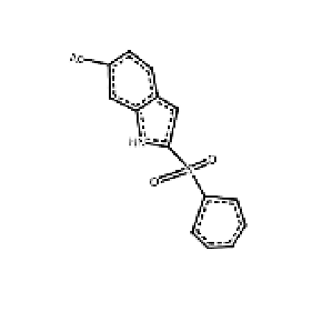 CC(=O)c1ccc2cc(S(=O)(=O)c3ccccc3)[nH]c2c1